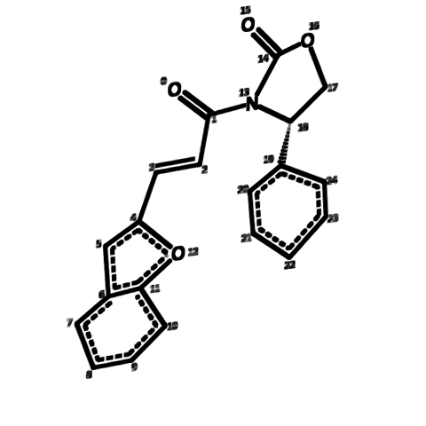 O=C(/C=C/c1cc2ccccc2o1)N1C(=O)OC[C@@H]1c1ccccc1